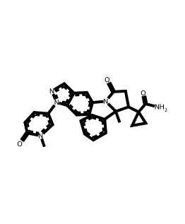 Cn1cc(-n2ncc3cc(N4C(=O)CC(C5(C(N)=O)CC5)C4(C)c4ccccc4)ccc32)ccc1=O